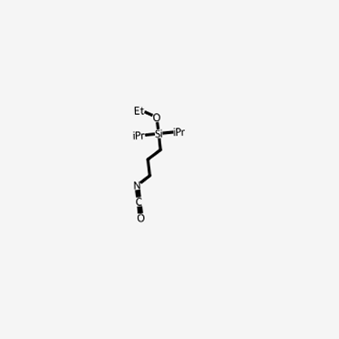 CCO[Si](CCCN=C=O)(C(C)C)C(C)C